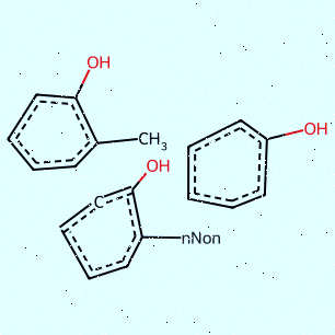 CCCCCCCCCc1ccccc1O.Cc1ccccc1O.Oc1ccccc1